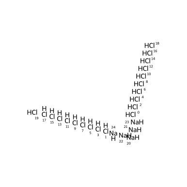 Cl.Cl.Cl.Cl.Cl.Cl.Cl.Cl.Cl.Cl.Cl.Cl.Cl.Cl.Cl.Cl.Cl.Cl.Cl.Cl.[NaH].[NaH].[NaH].[NaH].[NaH]